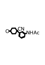 CC(=O)Nc1cccc(C2(C#N)CCC(=O)CC2)c1